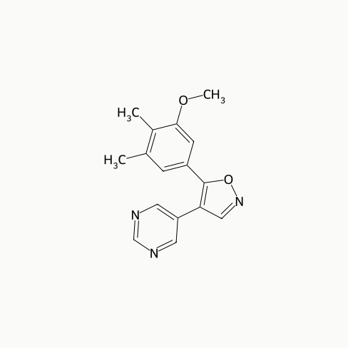 COc1cc(-c2oncc2-c2cncnc2)cc(C)c1C